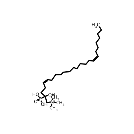 CCCCCCC/C=C\CCCCCCCCCC/C=C\CCC(O)(C[N+](C)(C)C)P(=O)(O)O